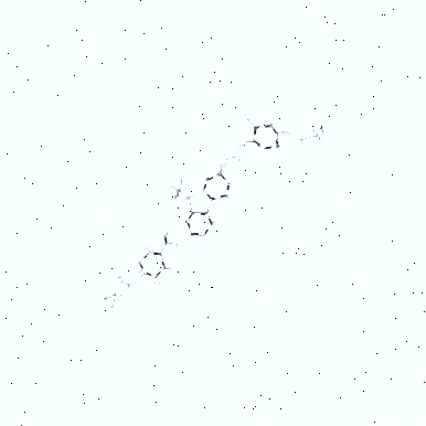 O=C(Oc1ccc2c(c1)C(C(F)(F)F)c1cc(OCOc3ccc(OCC4CO4)cc3F)ccc1-2)c1ccc(OCC2CO2)cc1